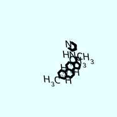 C[C@H]1CC[C@@H]2C3CC[C@@]4(C)C(CCC4[C@@H](C)Nc4cccnc4)[C@@H]3CC[C@@H]2C1